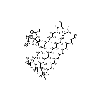 CCCCCCCCCCCCCCCC[N+](C)(C)C.CCCCCCCCCCCCCCCC[N+](C)(C)C.CCCCCCCCCCCCCCCC[N+](C)(C)C.O=C([O-])CC(O)(CC(=O)[O-])C(=O)[O-]